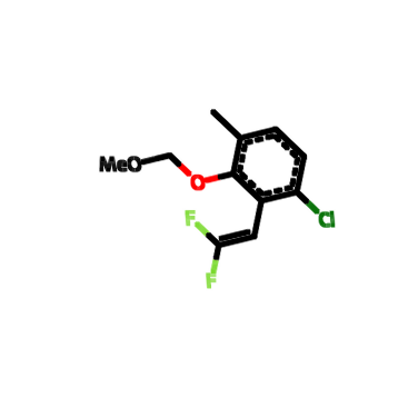 COCOc1c(C)ccc(Cl)c1C=C(F)F